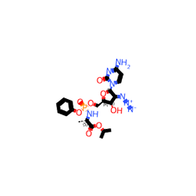 CC(C)OC(=O)[C@H](C)NP(=O)(OC[C@H]1O[C@@H](n2ccc(N)nc2=O)C(N=[N+]=[N-])[C@@H]1O)Oc1ccccc1